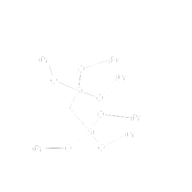 CC(C)O[Si](C[Si](OC(C)C)(OC(C)C)OC(C)C)(OC(C)C)OC(C)C